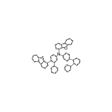 c1ccc(-c2ccccc2-c2ccc(N(c3ccc(-c4cccc5c4sc4ccccc45)c(-c4ccccc4)c3)c3cccc4c3oc3ccccc34)cc2)cc1